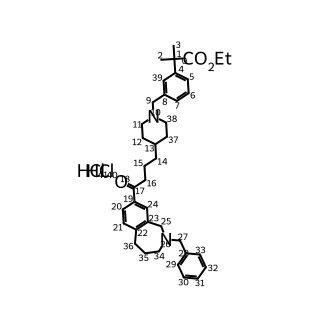 CCOC(=O)C(C)(C)c1cccc(CN2CCC(CCCC(=O)c3ccc4c(c3)CN(Cc3ccccc3)CCC4)CC2)c1.Cl.Cl